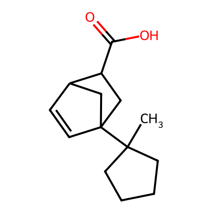 CC1(C23C=CC(C2)C(C(=O)O)C3)CCCC1